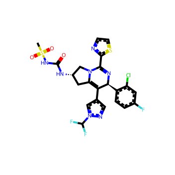 CS(=O)(=O)NC(=O)N[C@H]1CC2=C(c3cnn(C(F)F)c3)[C@H](c3ccc(F)cc3Cl)N=C(c3nccs3)N2C1